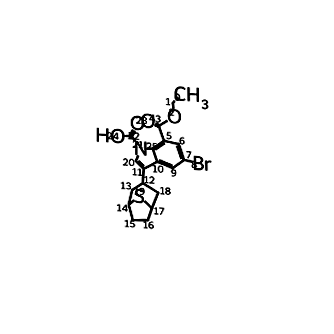 CCOC(=O)c1cc(Br)cc2c(C3CC4CCC(C3)S4)cn(C(=O)O)c12